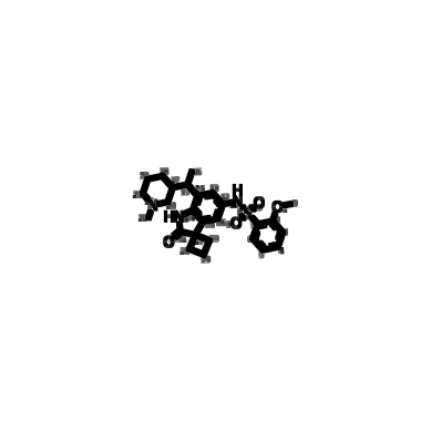 COc1ccccc1S(=O)(=O)Nc1cc(C(C)C2CCCN(C)C2)c2c(c1)C1(CCC1)C(=O)N2